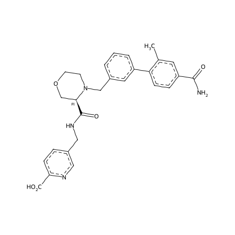 Cc1cc(C(N)=O)ccc1-c1cccc(CN2CCOC[C@@H]2C(=O)NCc2ccc(C(=O)O)nc2)c1